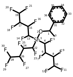 CC([O][Sn]([CH](F)C(F)C(F)C(F)F)([CH](F)C(F)C(F)C(F)F)[CH](F)C(F)C(F)C(F)F)c1ccccc1